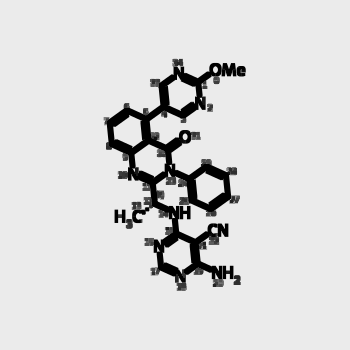 COc1ncc(-c2cccc3nc([C@@H](C)Nc4ncnc(N)c4C#N)n(-c4ccccc4)c(=O)c23)cn1